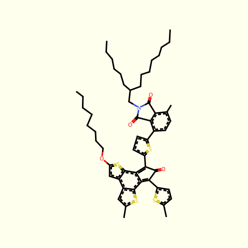 CCCCCCCCOc1cc2c(s1)c1c(c3sc(C)cc32)=C(c2ccc(C)s2)C(=O)C=1c1ccc(-c2ccc(C)c3c2C(=O)N(CC(CCCCCC)CCCCCCCC)C3=O)s1